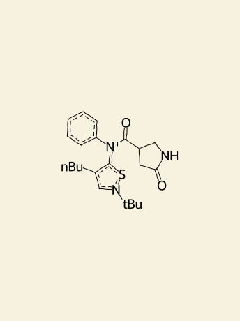 CCCCc1cn(C(C)(C)C)s/c1=[N+](\C(=O)C1CNC(=O)C1)c1ccccc1